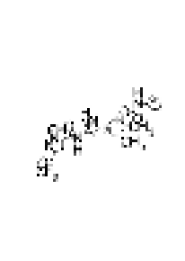 CC1C[C@H](c2cc(NC(=O)c3cc(COC(F)(F)F)nn3C)[nH]n2)C[C@H](OC(=O)NC2CC3CC2C3)C1C